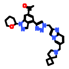 C[Si](=O)c1cc(-c2cn(Cc3cn4cc(CN5CCC6(CCC6)C5)ccc4n3)nn2)c2cnn(C3CCCCO3)c2c1